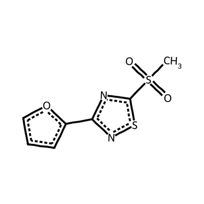 CS(=O)(=O)c1nc(-c2ccco2)ns1